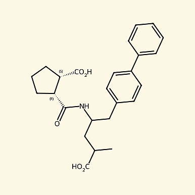 CC(CC(Cc1ccc(-c2ccccc2)cc1)NC(=O)[C@@H]1CCC[C@@H]1C(=O)O)C(=O)O